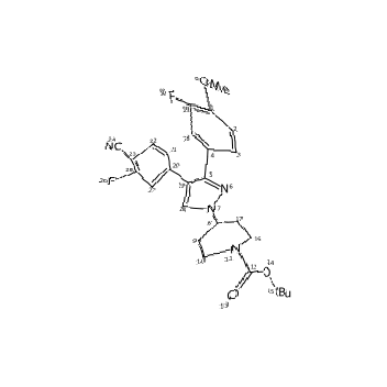 COc1ccc(-c2nn(C3CCN(C(=O)OC(C)(C)C)CC3)cc2-c2ccc(C#N)c(F)c2)cc1F